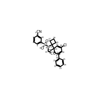 N#Cc1cccc(S(=O)(=O)N(CC(=O)O)C2(C3(Cl)C=C(Cl)C=C(c4ccccc4)C3)CCC2)c1